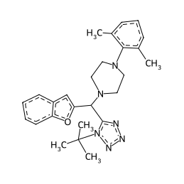 Cc1cccc(C)c1N1CCN(C(c2cc3ccccc3o2)c2nnnn2C(C)(C)C)CC1